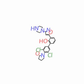 O=C1CCCN1c1c(Cl)cc(-c2cccc(-c3cc(N4CCNCC4)no3)c2O)cc1Cl